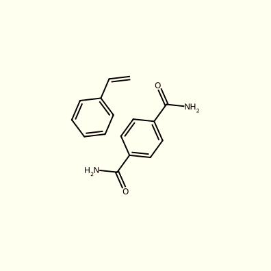 C=Cc1ccccc1.NC(=O)c1ccc(C(N)=O)cc1